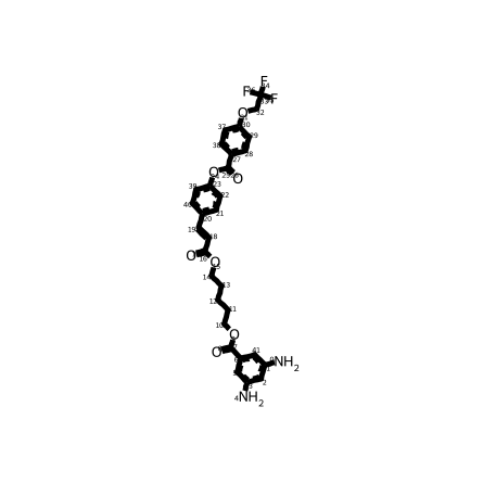 Nc1cc(N)cc(C(=O)OCCCCCOC(=O)C=Cc2ccc(OC(=O)c3ccc(OCC(F)(F)F)cc3)cc2)c1